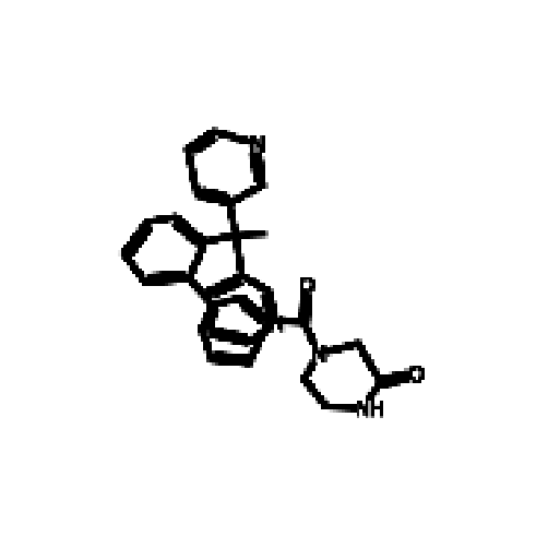 CC(c1cccnc1)(c1cccnc1)c1ccccc1-c1cccc(C(=O)N2CCNC(=O)C2)c1